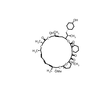 CO[C@H]1C[C@@H]2CC[C@@H](C)[C@@](O)(O2)C(=O)C(=O)N2CCCC[C@H]2C(=O)OC([C@H](C)C[C@H]2CC[C@H](O)CC2)C/C=C(\C)[C@@H](O)CC(=O)[C@H](C)C[C@H](C)/C=C/C=C/C=C/1C